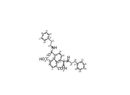 O=C(O)c1ccc(C(=O)O)c2c(C(=O)NCCc3ccccc3)ccc(C(=O)BCCc3ccccc3)c12